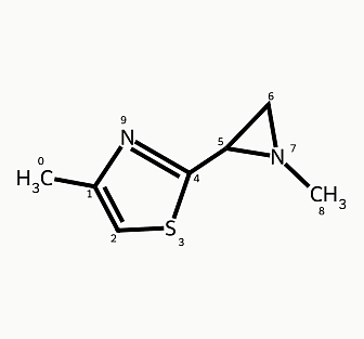 Cc1csc(C2CN2C)n1